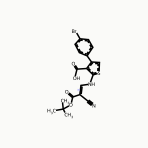 CC(C)(C)OC(=O)/C(C#N)=C/Nc1scc(-c2ccc(Br)cc2)c1C(=O)O